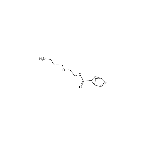 NCCCOCCOC(=O)C1CC2C=CC1C2